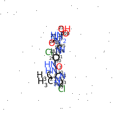 CC(C)c1c(NC(=O)Nc2ccc(-n3cc(N(CNC(=O)O)C(N)=O)cn3)c(Cl)c2)cnc2cc(Cl)nn12